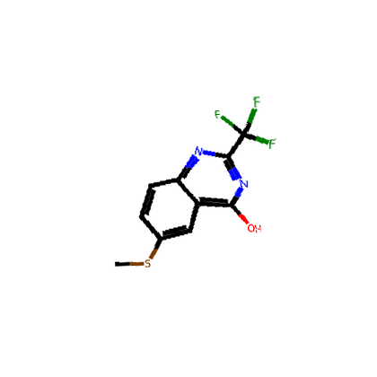 CSc1ccc2nc(C(F)(F)F)nc(O)c2c1